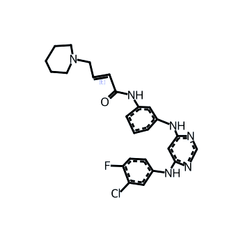 O=C(/C=C/CN1CCCCC1)Nc1cccc(Nc2cc(Nc3ccc(F)c(Cl)c3)ncn2)c1